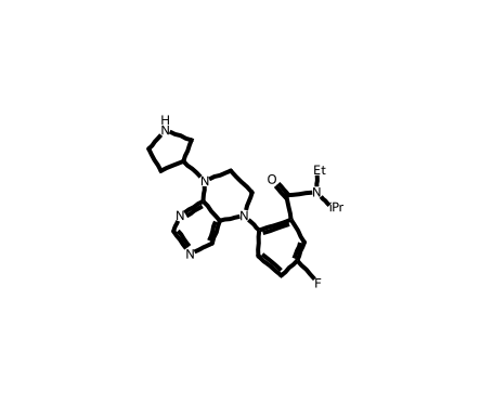 CCN(C(=O)c1cc(F)ccc1N1CCN(C2CCNC2)c2ncncc21)C(C)C